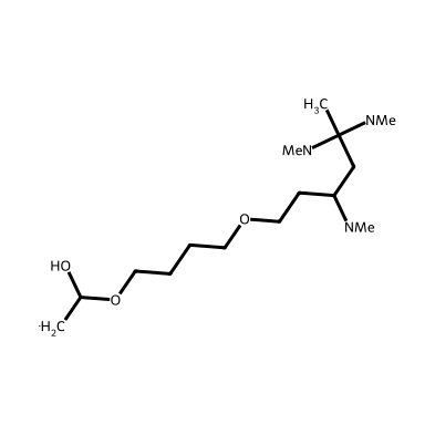 [CH2]C(O)OCCCCOCCC(CC(C)(NC)NC)NC